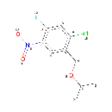 CC(C)OCc1cc([N+](=O)[O-])c(F)cc1Cl